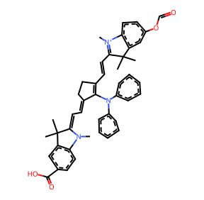 CN1C(=C/C=C2\CCC(C=CC3=[N+](C)c4ccc(OC=O)cc4C3(C)C)=C2N(c2ccccc2)c2ccccc2)C(C)(C)c2cc(C(=O)O)ccc21